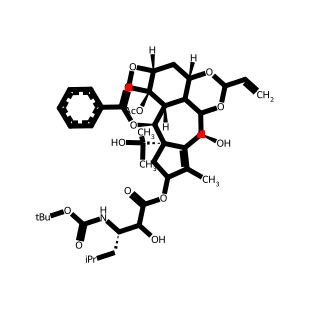 C=CC1O[C@H]2C[C@H]3OC[C@@]3(OC(C)=O)[C@@H]3C2[C@@H](O1)[C@@H](O)C1=C(C)C(OC(=O)C(O)[C@H](CC(C)C)NC(=O)OC(C)(C)C)C[C@@]1(C(C)(C)O)[C@H]3OC(=O)c1ccccc1